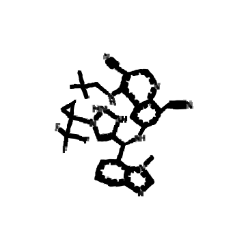 Cn1cnc2cccc([C@H](Nc3cc(C#N)c4ncc(C#N)c(NCC(C)(C)C)c4c3)C3=CN(C4(C(F)(F)F)CC4)NN3)c21